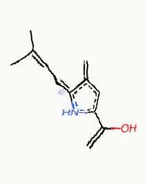 C=C(O)c1cc(=C)/c(=C\C=C(C)C)[nH]1